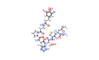 NC(=O)C[C@H](NC(=O)[C@H](CS)NC(=O)[C@H](CO)NC(=O)[C@H](Cc1c[nH]cn1)NC(=O)[C@@H]1CCCN1C(=O)CCNC(=O)CCc1cc(I)c(O)c(I)c1)C(N)=O